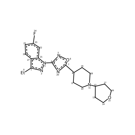 CCc1nn(-c2noc(C3CCN(C4CCOCC4)CC3)n2)c2cc(F)ccc12